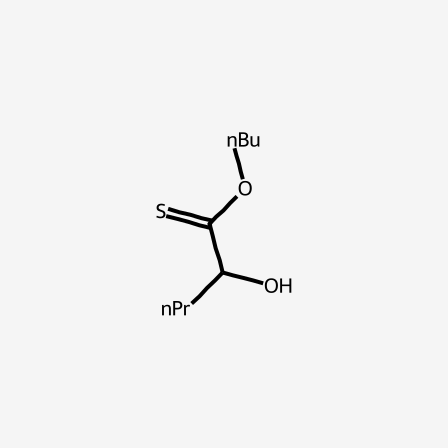 CCCCOC(=S)C(O)CCC